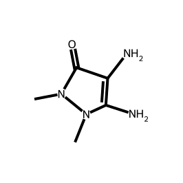 Cn1c(N)c(N)c(=O)n1C